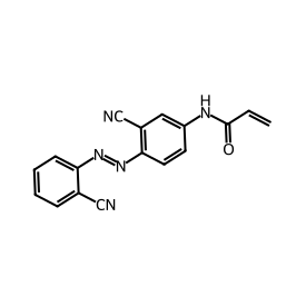 C=CC(=O)Nc1ccc(N=Nc2ccccc2C#N)c(C#N)c1